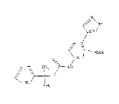 COc1cc(NC(=O)CC(C)(C)c2ccccc2)ccc1-c1cn[nH]c1